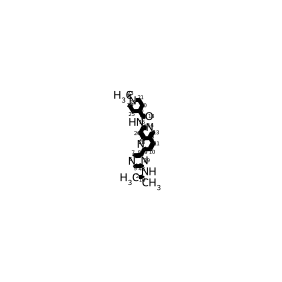 CC(C)Nc1cncc(-c2ccc3cnc(NC(=O)C4CCN(C)CC4)cc3n2)n1